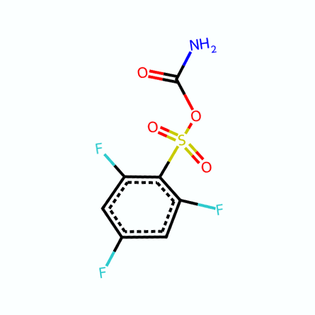 NC(=O)OS(=O)(=O)c1c(F)cc(F)cc1F